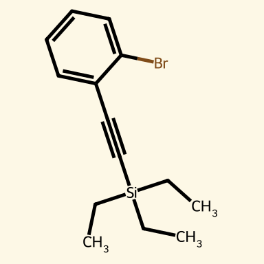 CC[Si](C#Cc1ccccc1Br)(CC)CC